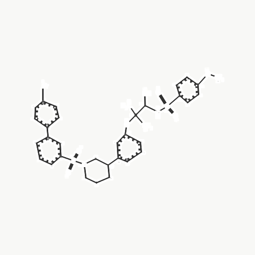 CC(C)c1ccc(-c2cccc(S(=O)(=O)N3CCCC(c4cccc(OC(C)(C)C(O)NS(=O)(=O)c5ccc(OC(F)(F)F)cc5)c4)C3)c2)cc1